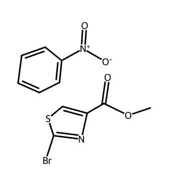 COC(=O)c1csc(Br)n1.O=[N+]([O-])c1ccccc1